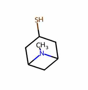 CN1C2CC(S)CC1C2